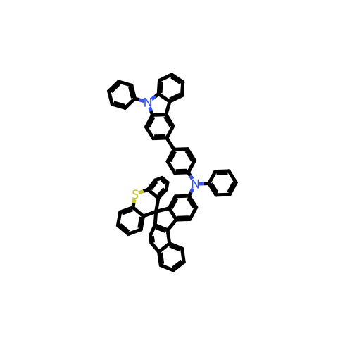 c1ccc(N(c2ccc(-c3ccc4c(c3)c3ccccc3n4-c3ccccc3)cc2)c2ccc3c(c2)C2(c4ccccc4Sc4ccccc42)c2ccc4ccccc4c2-3)cc1